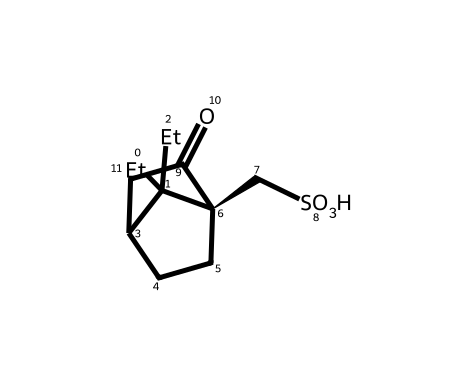 CCC1(CC)C2CC[C@@]1(CS(=O)(=O)O)C(=O)C2